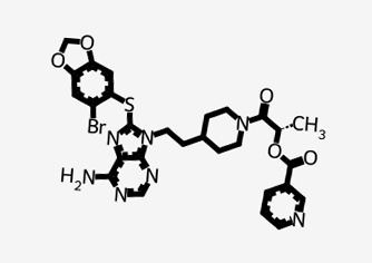 C[C@H](OC(=O)c1cccnc1)C(=O)N1CCC(CCn2c(Sc3cc4c(cc3Br)OCO4)nc3c(N)ncnc32)CC1